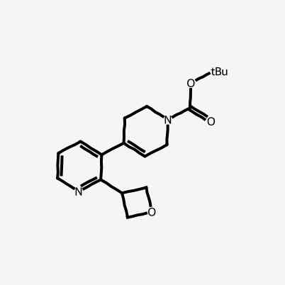 CC(C)(C)OC(=O)N1CC=C(c2cccnc2C2COC2)CC1